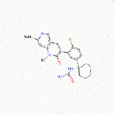 CCn1c(=O)c(-c2cc(C3(NC(N)=O)CCCCC3)ccc2Cl)cc2cnc(NC)cc21